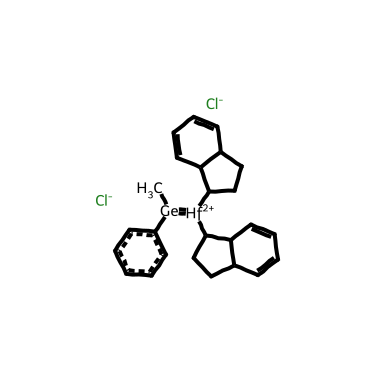 [CH3][Ge]([c]1ccccc1)=[Hf+2]([CH]1CCC2C=CC=CC21)[CH]1CCC2C=CC=CC21.[Cl-].[Cl-]